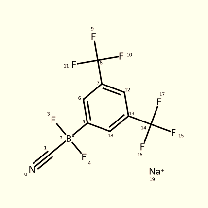 N#C[B-](F)(F)c1cc(C(F)(F)F)cc(C(F)(F)F)c1.[Na+]